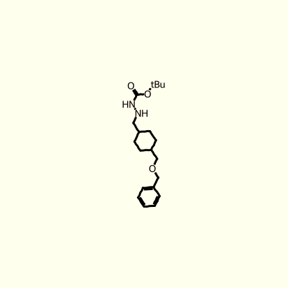 CC(C)(C)OC(=O)NNCC1CCC(COCc2ccccc2)CC1